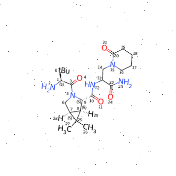 CC(C)(C)[C@H](N)C(=O)N1C[C@H]2[C@@H]([C@H]1C(=O)NC(CN1CCCCC1=O)C(N)=O)C2(C)C